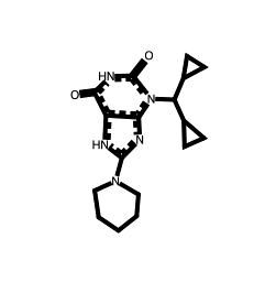 O=c1[nH]c(=O)n(C(C2CC2)C2CC2)c2nc(N3CCCCC3)[nH]c12